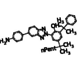 CCCCCC(C)(C)c1cc(-n2nc3ccc(-c4ccc(N)cc4)cc3n2)c(O)c(C(C)(C)c2ccccc2)c1